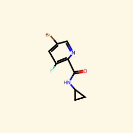 O=C(NC1CC1)c1ncc(Br)cc1F